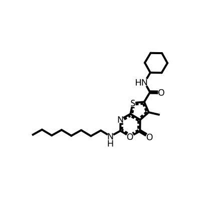 CCCCCCCCNc1nc2sc(C(=O)NC3CCCCC3)c(C)c2c(=O)o1